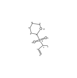 C=CC(C)S(=O)(=O)C1CCCCO1